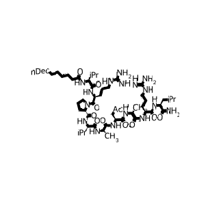 CCCCCCCCCCCCCCCC(=O)N[C@H](C(=O)N[C@@H](CCCNC(=N)N)C(=O)N1CCC[C@H]1C(=O)N[C@H](C(=O)N[C@@H](C)C(=O)N[C@@H](CC(C)=O)C(=O)N[C@@H](C)C(=O)N[C@@H](CCCNC(=N)N)C(=O)N[C@@H](CC(C)C)C(N)=O)C(C)C)C(C)C